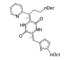 CCCCCCCCCCCC/C(c1ccccn1)=c1/[nH]c(=O)/c(=C/c2ccc(CCCCCCCC)s2)[nH]c1=O